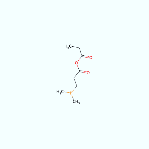 CCC(=O)OC(=O)CCP(C)C